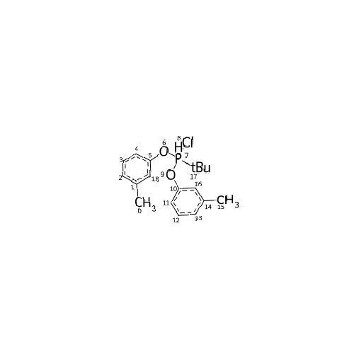 Cc1cccc(O[PH](Cl)(Oc2cccc(C)c2)C(C)(C)C)c1